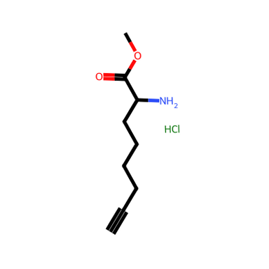 C#CCCCCC(N)C(=O)OC.Cl